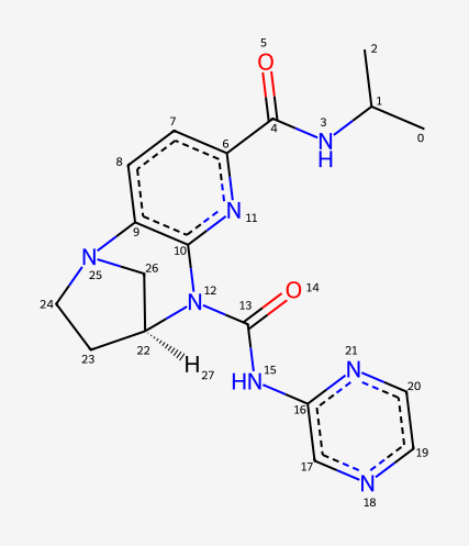 CC(C)NC(=O)c1ccc2c(n1)N(C(=O)Nc1cnccn1)[C@H]1CCN2C1